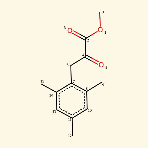 COC(=O)C(=O)Cc1c(C)cc(C)cc1C